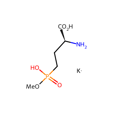 COP(=O)(O)CC[C@H](N)C(=O)O.[K]